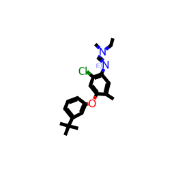 CCN(C)/C=N/c1cc(C)c(Oc2cccc(C(C)(C)C)c2)cc1Cl